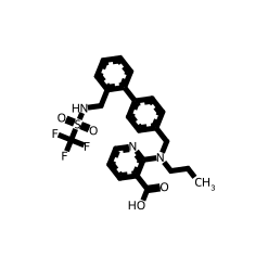 CCCN(Cc1ccc(-c2ccccc2CNS(=O)(=O)C(F)(F)F)cc1)c1ncccc1C(=O)O